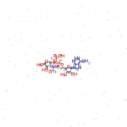 CC(=O)NC1[C@@H](COP(=O)(O)CP(=O)(O)OC[C@H]2O[C@@H](n3cnc4c(N)ncnc43)C(O)C2O)O[C@@H](O)[C@H]1O